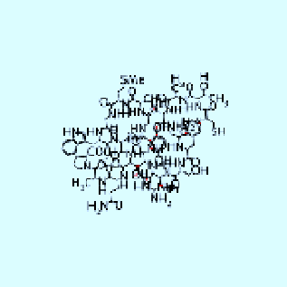 CSCC[C@H](NC(=O)[C@H](C)NC(=O)[C@H](Cc1ccc(O)cc1)NC(=O)[C@H](CO)NC(=O)[C@H](CO)NC(=O)[C@H](CC(C)C)NC(=O)[C@H](CO)NC(=O)[C@H](Cc1ccccc1)NC(=O)CNC(=O)[C@H](CO)NC(=O)[C@H](C)NC(=O)[C@@H](NC(=O)[C@@H](N)CS)[C@@H](C)O)C(=O)NCC(=O)N[C@@H](Cc1c[nH]c2ccccc12)C(=O)N[C@H](C(=O)N[C@@H](CCCNC(=N)N)C(=O)N[C@@H](CCC(N)=O)C(=O)N[C@@H](C)C(=O)N1CCC[C@H]1C(=O)O)C(C)C